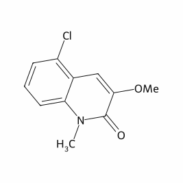 COc1cc2c(Cl)cccc2n(C)c1=O